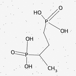 CC(CCP(=O)(O)O)P(=O)(O)O